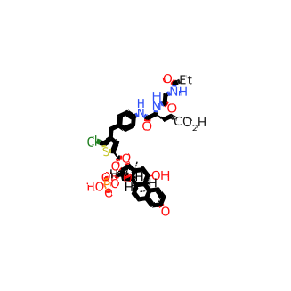 CCC(=O)NCC(=O)N[C@@H](CCC(=O)O)C(=O)Nc1ccc(Cc2cc([C@@H]3O[C@@H]4C[C@H]5[C@@H]6CCC7=CC(=O)C=C[C@]7(C)[C@H]6[C@@H](O)C[C@]5(C)[C@]4(C(=O)COP(=O)(O)O)O3)sc2Cl)cc1